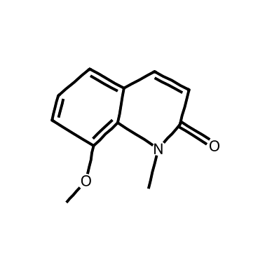 COc1cccc2ccc(=O)n(C)c12